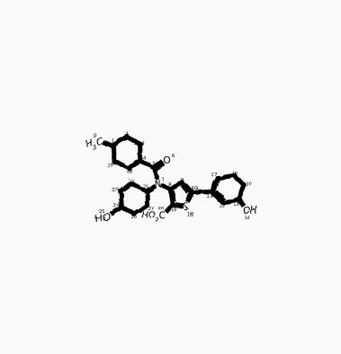 CC1CCC(C(=O)N(c2cc(C3=CC(O)CCC3)sc2C(=O)O)C2CCC(O)CC2)CC1